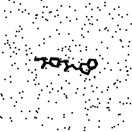 O=C(Nc1ccc(C(=O)NO)cc1)OCC1CCc2ccccc2C1